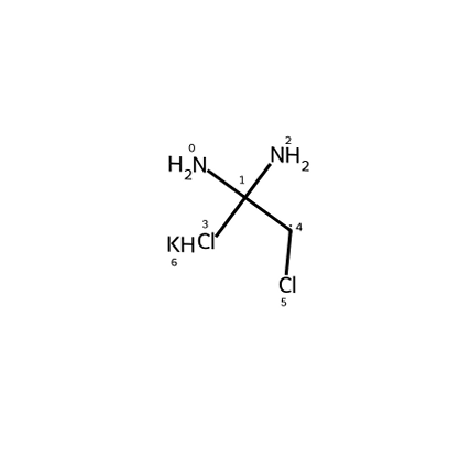 NC(N)(Cl)[CH]Cl.[KH]